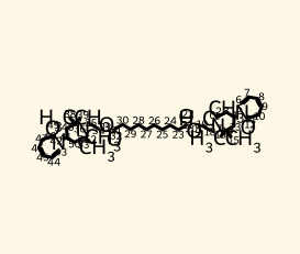 CC1(C)CC(N2C=CC=CCC2=O)CC(C)(C)N1CCOC(=O)CCCCCCCCC(=O)OCCN1C(C)(C)CC(N2C=CC=CCC2=O)CC1(C)C